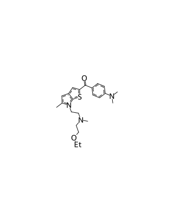 CCOCCN(C)CCn1c(C)cc2cc(C(=O)c3ccc(N(C)C)cc3)sc21